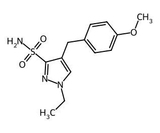 CCn1cc(Cc2ccc(OC)cc2)c(S(N)(=O)=O)n1